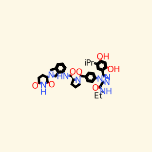 CCNC(=O)c1nnc(-c2cc(C(C)C)c(O)cc2O)n1-c1ccc(C(=O)N2CCC[C@H]2C(=O)Nc2cccc3c2CN(C2CCC(=O)NC2=O)C3)cc1